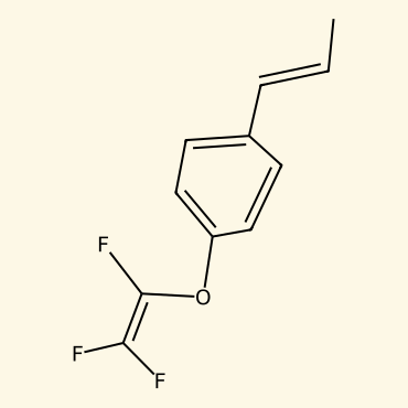 CC=Cc1ccc(OC(F)=C(F)F)cc1